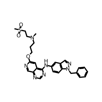 CN(CCCOc1cc2c(Nc3ccc4c(cnn4Cc4ccccc4)c3)ncnc2cn1)CCS(C)(=O)=O